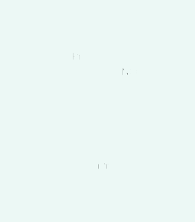 CC(C)c1ccc(C(C)C)c(N=O)c1